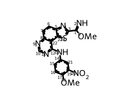 COC(=N)c1nc2ccc3ncnc(Nc4ccc(OC)c([N+](=O)[O-])c4)c3c2s1